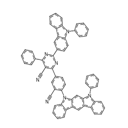 N#Cc1cc(-c2nc(-c3ccc4c(c3)c3ccccc3n4-c3ccccc3)nc(-c3ccccc3)c2C#N)ccc1-n1c2ccccc2c2cc3c4ccccc4n(-c4ccccc4)c3cc21